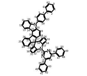 c1ccc(-c2ccc(-n3c4ccccc4c4c5c(ccc43)C3(c4ccccc4-5)c4ccccc4N(c4nc(-c5ccccc5)cc(-c5ccccc5)n4)c4ccccc43)cc2)cc1